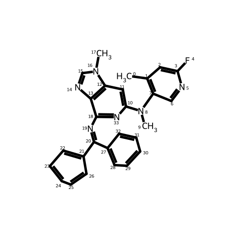 Cc1cc(F)ncc1N(C)c1cc2c(ncn2C)c(N=C(c2ccccc2)c2ccccc2)n1